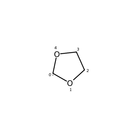 [CH]1OCCO1